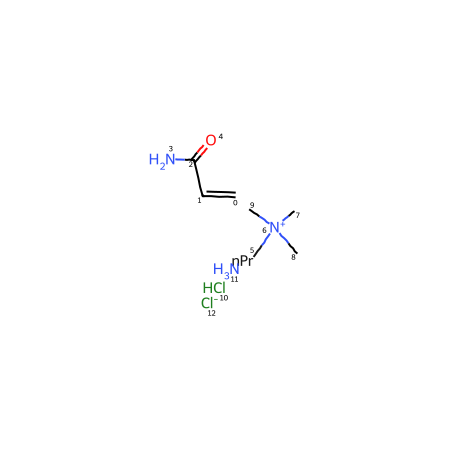 C=CC(N)=O.CCC[N+](C)(C)C.Cl.N.[Cl-]